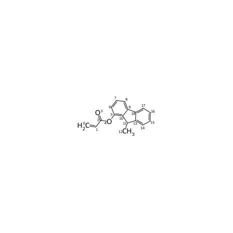 C=CC(=O)Oc1cccc2c1C(C)c1ccccc1-2